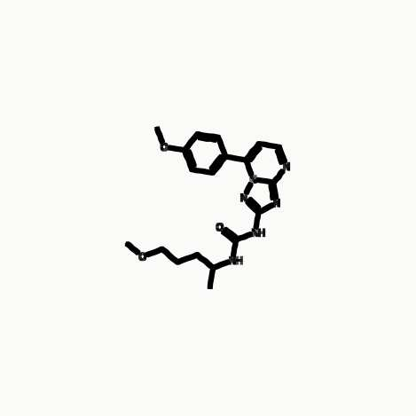 COCCCC(C)NC(=O)Nc1nc2nccc(-c3ccc(OC)cc3)n2n1